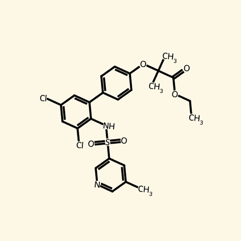 CCOC(=O)C(C)(C)Oc1ccc(-c2cc(Cl)cc(Cl)c2NS(=O)(=O)c2cncc(C)c2)cc1